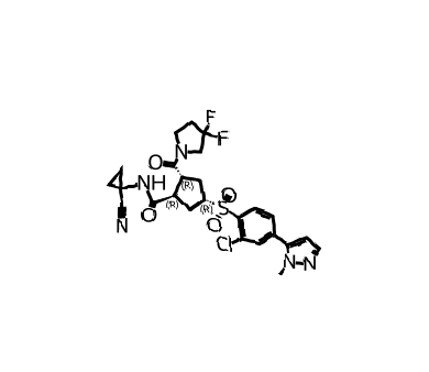 Cn1nccc1-c1ccc(S(=O)(=O)[C@@H]2C[C@@H](C(=O)NC3(C#N)CC3)[C@H](C(=O)N3CCC(F)(F)C3)C2)c(Cl)c1